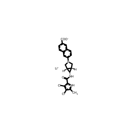 Cc1[nH]c(C(=O)N[C@@H]2[C@@H]3CN(c4ccc5cc(C(=O)[O-])ccc5c4)C[C@@H]32)c(Cl)c1Cl.[Li+]